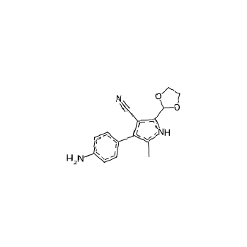 Cc1[nH]c(C2OCCO2)c(C#N)c1-c1ccc(N)cc1